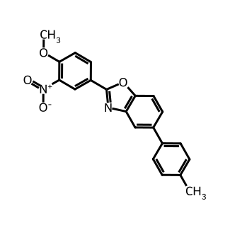 COc1ccc(-c2nc3cc(-c4ccc(C)cc4)ccc3o2)cc1[N+](=O)[O-]